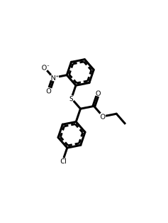 CCOC(=O)C(Sc1ccccc1[N+](=O)[O-])c1ccc(Cl)cc1